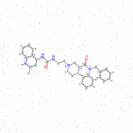 Cc1cc(NC(=O)NCCN2CCCC(C(=O)N(Cc3ccccc3)c3ccccc3)C2)c2ccccc2n1